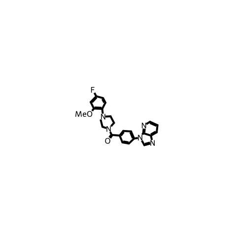 COc1cc(F)ccc1N1CCN(C(=O)c2ccc(-n3cnc4cccnc43)cc2)CC1